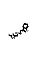 Cc1noc(CNC(=O)Cc2c[nH]c3ccccc23)n1